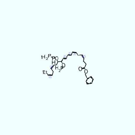 CC/C=C\C/C=C\CC(OPP)C(/C=C/C=C/C=C\C/C=C\CCC(=O)OCc1ccccc1)OP